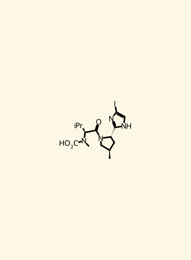 CC(C)[C@@H](C(=O)N1C[C@H](C)C[C@H]1c1nc(I)c[nH]1)N(C)C(=O)O